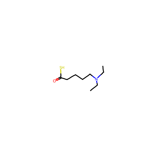 CCN(CC)CCCCC(=O)S